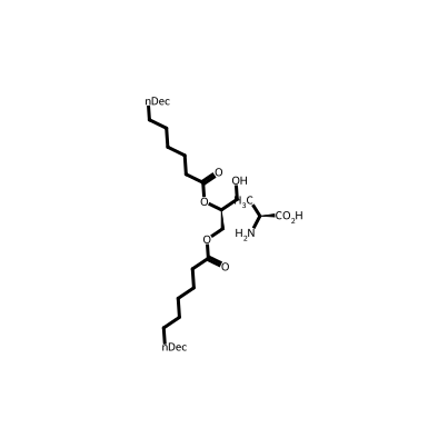 CCCCCCCCCCCCCCCC(=O)OC[C@H](CO)OC(=O)CCCCCCCCCCCCCCC.C[C@H](N)C(=O)O